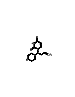 C=CCN(N1CCNCC1)n1ccc(=O)[nH]c1=O